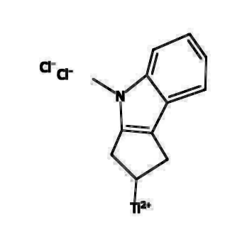 Cn1c2c(c3ccccc31)C[CH]([Ti+2])C2.[Cl-].[Cl-]